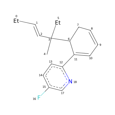 CCC=CC(C)(CC)C1CC=CC=C1c1ccc(F)cn1